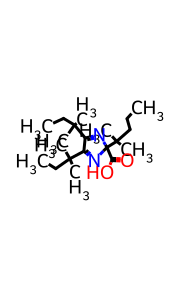 CCCC(C)(C)C1(C(=O)O)N=C(C(C)(C)CC)C(C(C)(C)CC)=N1